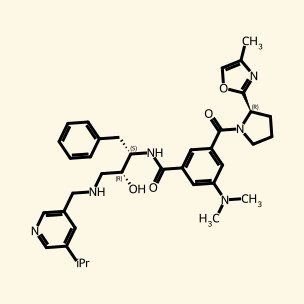 Cc1coc([C@H]2CCCN2C(=O)c2cc(C(=O)N[C@@H](Cc3ccccc3)[C@H](O)CNCc3cncc(C(C)C)c3)cc(N(C)C)c2)n1